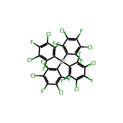 Fc1c(Cl)c(F)c([B-](c2c(F)c(Cl)c(F)c(Cl)c2F)(c2c(F)c(Cl)c(F)c(Cl)c2F)c2c(F)c(Cl)c(F)c(Cl)c2F)c(F)c1Cl